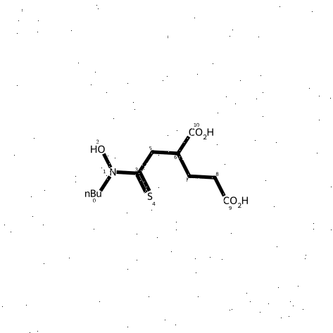 CCCCN(O)C(=S)CC(CCC(=O)O)C(=O)O